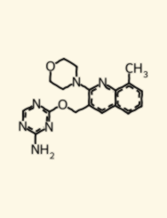 Cc1cccc2cc(COc3ncnc(N)n3)c(N3CCOCC3)nc12